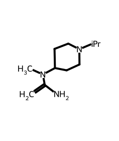 C=C(N)N(C)C1CCN(C(C)C)CC1